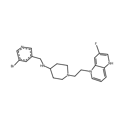 FC1=CNC2=CC=CN(CCN3CCC(NCc4cncc(Br)c4)CC3)C2=C1